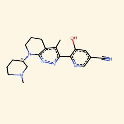 Cc1c(-c2ncc(C#N)cc2O)nnc2c1CCCN2[C@@H]1CCCN(C)C1